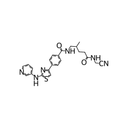 CC(CCC(=O)NCC#N)CNC(=O)c1ccc(-c2csc(Nc3cccnc3)n2)cc1